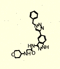 O=C(CNC1CCOCC1)Nc1n[nH]c2ccc(-c3cn(Cc4ccccc4)nn3)cc12